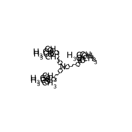 CC1(C)OB(c2cccc(/C=C/c3ccc(N(c4ccc(/C=C/c5cccc(B6OC(C)(C)C(C)(C)O6)c5)cc4)c4ccc(/C=C/c5cccc(B6OC(C)(C)C(C)(C)O6)c5)cc4)cc3)c2)OC1(C)C